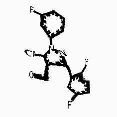 O=Cc1c(-c2cc(F)ccc2F)nn(-c2cccc(F)c2)c1Cl